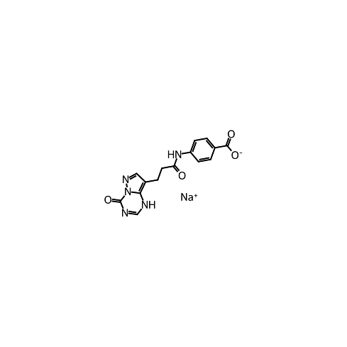 O=C(CCc1cnn2c(=O)nc[nH]c12)Nc1ccc(C(=O)[O-])cc1.[Na+]